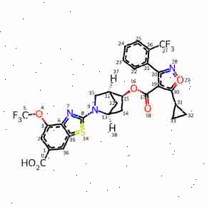 O=C(O)c1cc(OC(F)(F)F)c2nc(N3C[C@@H]4C[C@H]3C[C@@H]4OC(=O)c3c(-c4ccccc4C(F)(F)F)noc3C3CC3)sc2c1